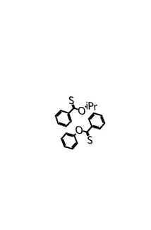 CC(C)OC(=S)c1ccccc1.S=C(Oc1ccccc1)c1ccccc1